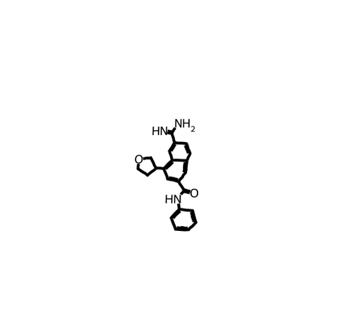 N=C(N)c1ccc2cc(C(=O)Nc3ccccc3)cc(C3CCOC3)c2c1